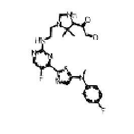 CN(c1ccc(F)cc1)c1cnc(-c2nc(NCCN3CNC(C(=O)C=O)C3(C)C)ncc2F)s1